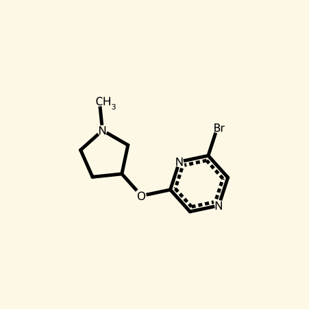 CN1CCC(Oc2cncc(Br)n2)C1